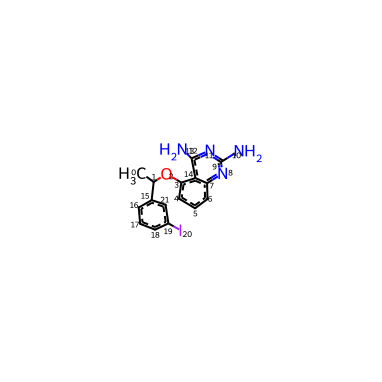 CC(Oc1cccc2nc(N)nc(N)c12)c1cccc(I)c1